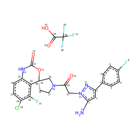 Nc1cc(-c2ccc(F)cc2)nn1CC(=O)N1CC[C@@]2(C1)OC(=O)Nc1ccc(Cl)c(F)c12.O=C(O)C(F)(F)F